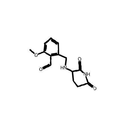 COc1cccc(CNC2CCC(=O)NC2=O)c1C=O